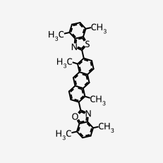 Cc1c(-c2nc3c(C)ccc(C)c3o2)ccc2cc3c(C)c(-c4nc5c(C)ccc(C)c5s4)ccc3cc12